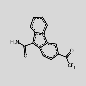 NC(=O)c1c2ccc(C(=O)C(F)(F)F)cc2n2ccccc12